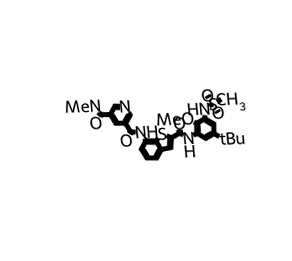 CNC(=O)c1cncc(C(=O)Nc2cccc3cc(C(=O)Nc4cc(C(C)(C)C)cc(NS(C)(=O)=O)c4OC)sc23)c1